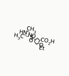 CCOc1ccc(S(=O)(=O)N2CC(C)NC(C)C2)cc1C(=O)O